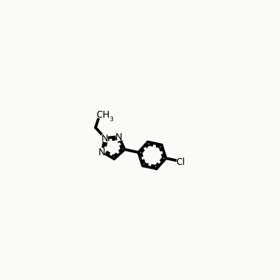 CCn1ncc(-c2ccc(Cl)cc2)n1